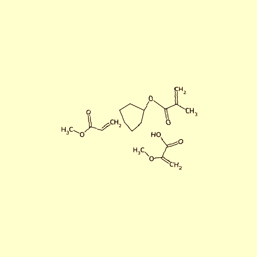 C=C(C)C(=O)OC1CCCCC1.C=C(OC)C(=O)O.C=CC(=O)OC